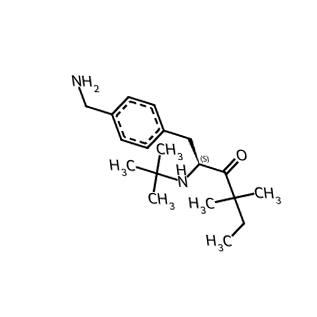 CCC(C)(C)C(=O)[C@H](Cc1ccc(CN)cc1)NC(C)(C)C